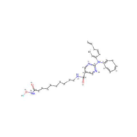 C=CC/C=C\C(=C/CC)N(C1=CCC=CC=C1)c1ncc(C(=O)NCCCCCCCCCC(=O)NOF)cn1